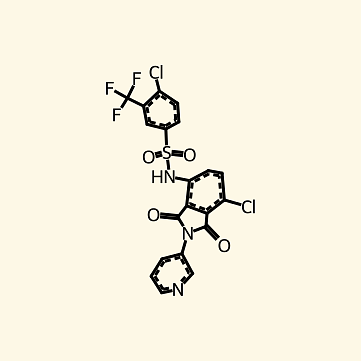 O=C1c2c(Cl)ccc(NS(=O)(=O)c3ccc(Cl)c(C(F)(F)F)c3)c2C(=O)N1c1cccnc1